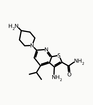 CC(C)c1cc(N2CCC(N)CC2)nc2sc(C(N)=O)c(N)c12